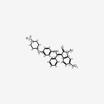 CC(=O)N1C(=O)/C(=C(\Nc2ccc(OC3CCN(C)CC3)cc2)c2ccccc2)c2ccc([N+](=O)[O-])cc21